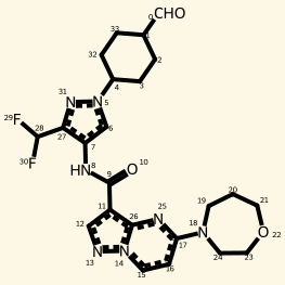 O=CC1CCC(n2cc(NC(=O)c3cnn4ccc(N5CCCOCC5)nc34)c(C(F)F)n2)CC1